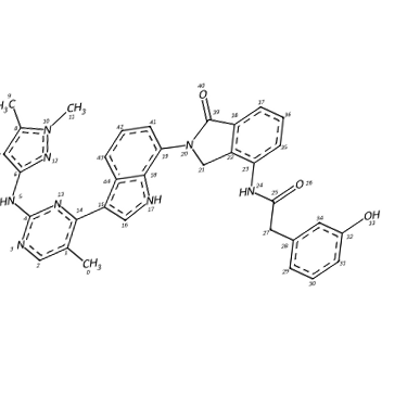 Cc1cnc(Nc2cc(C)n(C)n2)nc1-c1c[nH]c2c(N3Cc4c(NC(=O)Cc5cccc(O)c5)cccc4C3=O)cccc12